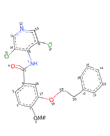 COc1ccc(C(=O)Nc2c(Cl)cncc2Cl)cc1OCCc1ccccc1